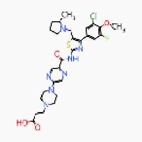 COc1c(F)cc(-c2nc(NC(=O)c3cnc(N4CCN(CCC(=O)O)CC4)cn3)sc2CN2CCC[C@H]2C)cc1Cl